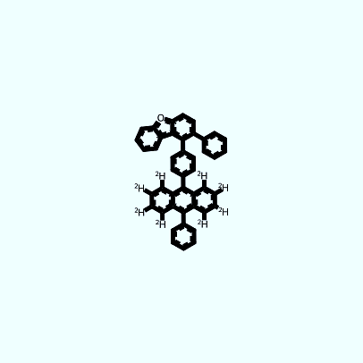 [2H]c1c([2H])c([2H])c2c(-c3ccc(-c4c(-c5ccccc5)ccc5oc6ccccc6c45)cc3)c3c([2H])c([2H])c([2H])c([2H])c3c(-c3ccccc3)c2c1[2H]